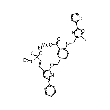 CCOP(=O)(C=Cc1cn(-c2ccccc2)nc1OCc1ccc(OCc2nc(-c3ccco3)oc2C)c(C(=O)OC)c1)OCC